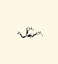 CCC/S(C)=N/C